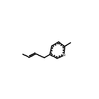 CC=CCc1ccc(C)nc1